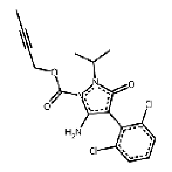 CC#CCOC(=O)n1c(N)c(-c2c(Cl)cccc2Cl)c(=O)n1C(C)C